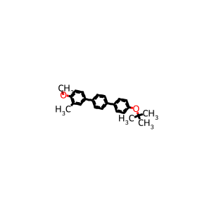 COc1ccc(-c2ccc(-c3ccc(OC(C)(C)C)cc3)cc2)cc1C